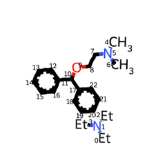 CCN(CC)CC.CN(C)CCOC(c1ccccc1)c1ccccc1